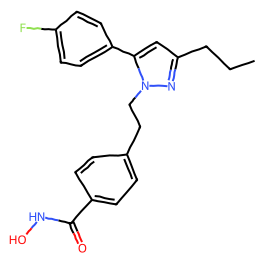 CCCc1cc(-c2ccc(F)cc2)n(CCc2ccc(C(=O)NO)cc2)n1